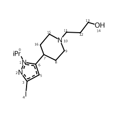 CC(C)n1nc(I)cc1C1CCN(CCCO)CC1